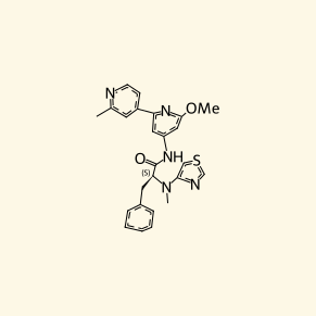 COc1cc(NC(=O)[C@H](Cc2ccccc2)N(C)c2cscn2)cc(-c2ccnc(C)c2)n1